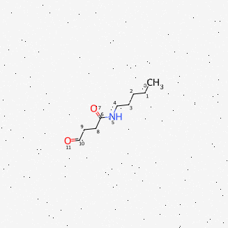 CCCCCNC(=O)CC[C]=O